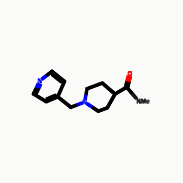 CNC(=O)C1CCN(Cc2ccncc2)CC1